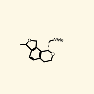 CNC[C@@H]1OCCc2ccc3c(c21)COC3C